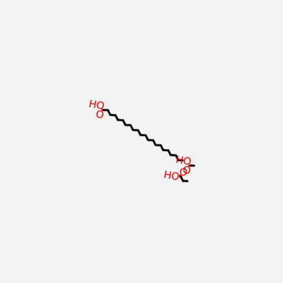 CC(=O)O.CCC(=O)O.CCCCCCCCCCCCCCCCCCCCCC(=O)O